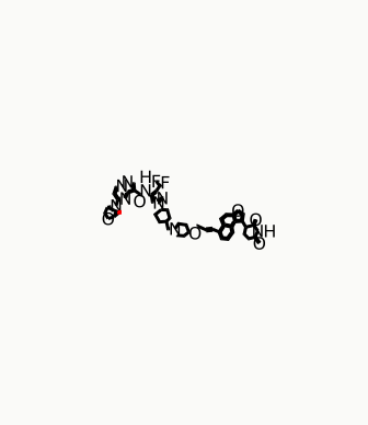 O=C1CCC(c2coc3ccc4c(C#CCOC5CCN(CC6CCC(n7cc(NC(=O)c8cnn9ccc(N%10CC%11CC%10CO%11)nc89)c(C(F)F)n7)CC6)CC5)cccc4c23)C(=O)N1